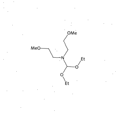 CCOC(OCC)N(CCOC)CCOC